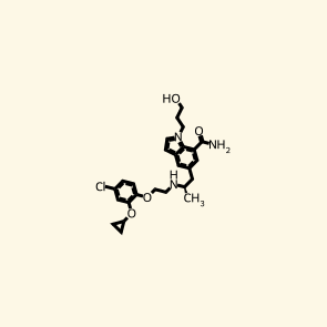 C[C@H](Cc1cc(C(N)=O)c2c(ccn2CCCO)c1)NCCOc1ccc(Cl)cc1OC1CC1